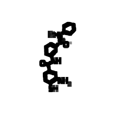 CCN(c1ccccc1)[S+]([O-])c1cccc(NC(=O)c2ccc(S)c(N)c2)c1